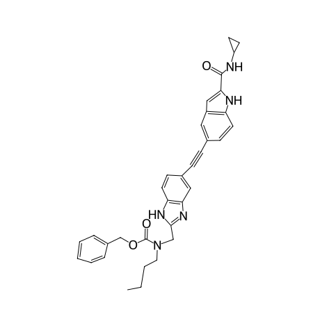 CCCCN(Cc1nc2cc(C#Cc3ccc4[nH]c(C(=O)NC5CC5)cc4c3)ccc2[nH]1)C(=O)OCc1ccccc1